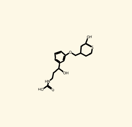 O=C(O)NCCC(O)c1cccc(OCC2CCSC(O)C2)c1